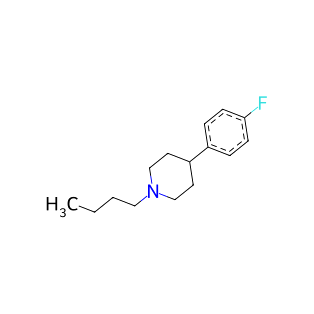 CCCCN1CCC(c2ccc(F)cc2)CC1